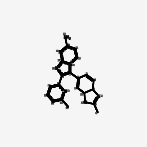 CC1=NC2C=CC(c3c(-c4cccc(C)n4)nc4nc(N)ccn34)=CC2O1